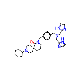 O=C1N(Cc2ccc(CN(Cc3ncc[nH]3)Cc3ncc[nH]3)cc2)CCCC12CCN(C1CCCCC1)CC2